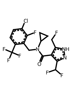 O=C(c1c(C(F)F)n[nH]c1CF)N(Cc1c(C(F)(F)F)ccc(Cl)c1F)C1CC1